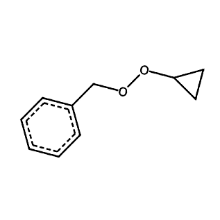 c1ccc(COOC2CC2)cc1